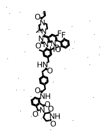 C=CC(=O)N1CCN(c2nc(=O)n(-c3c(C)cc(CNC(=O)Cc4ccc(CC(=O)Nc5cccc6c5C(=O)N(C5CCC(=O)NC5=O)C6=O)cc4)cc3C(C)C)c3nc(-c4c(O)cccc4F)c(F)cc23)[C@@H](C)C1